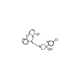 COC1C=CC=C2Oc3ncccc3C(=CCCN3CCC(O)(c4ccc(Cl)cn4)CC3)C=C21